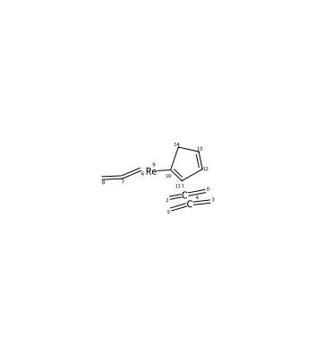 C=C=C.C=C=C.C=C=C.[Re][C]1=CC=CC1